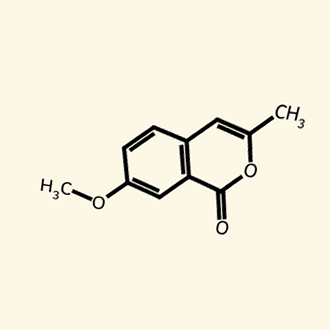 COc1ccc2cc(C)oc(=O)c2c1